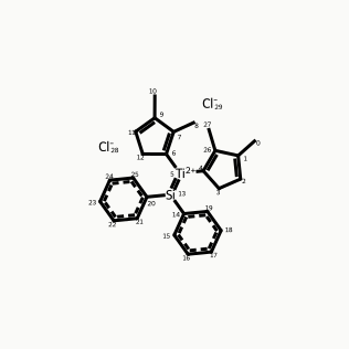 CC1=CC[C]([Ti+2]([C]2=C(C)C(C)=CC2)=[Si](c2ccccc2)c2ccccc2)=C1C.[Cl-].[Cl-]